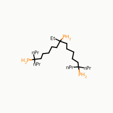 CCCC(P)(CCC)CCCCCC(P)(CC)CCCCCC(P)(CCC)CCC